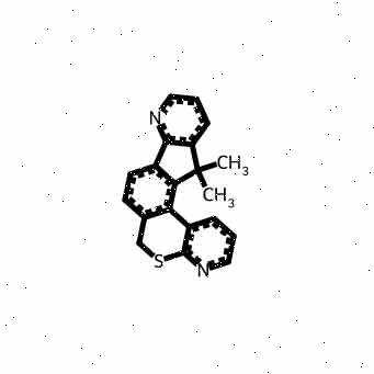 CC1(C)c2cccnc2-c2ccc3c(c21)-c1cccnc1SC3